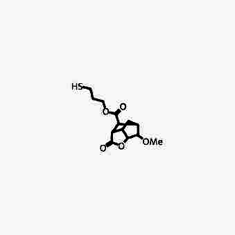 COC1C2CC3C1OC(=O)C3C2C(=O)OCCCS